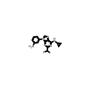 Nc1cccc(-n2cnc3c(NC4CC4)nc(C(F)F)nc32)c1